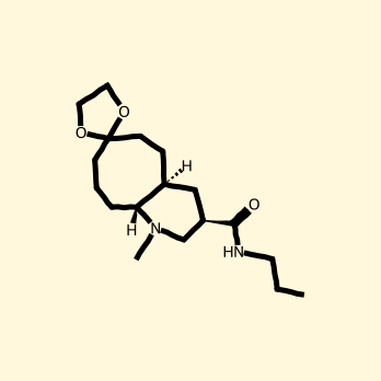 CCCNC(=O)[C@@H]1C[C@@H]2CCC3(CCC[C@H]2N(C)C1)OCCO3